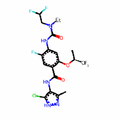 CCN(CC(F)F)C(=O)Nc1cc(O[C@@H](C)C(F)(F)F)c(C(=O)Nc2c(C)n[nH]c2Cl)cc1F